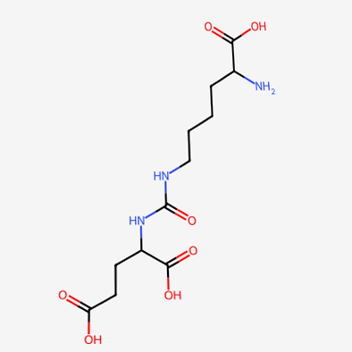 NC(CCCCNC(=O)NC(CCC(=O)O)C(=O)O)C(=O)O